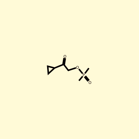 CP(C)(=O)OCC(=O)C1CC1